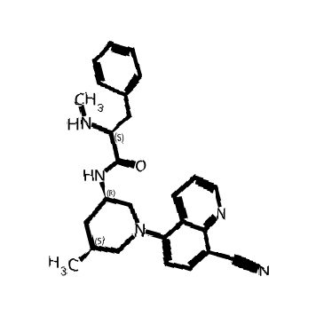 CN[C@@H](Cc1ccccc1)C(=O)N[C@@H]1C[C@H](C)CN(c2ccc(C#N)c3ncccc23)C1